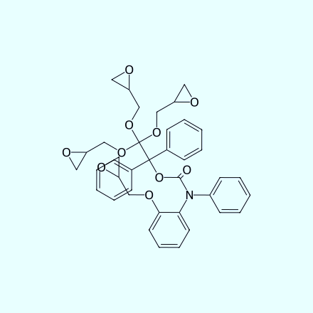 O=C(OC(c1ccccc1)(c1ccccc1)C(OCC1CO1)(OCC1CO1)OCC1CO1)N(c1ccccc1)c1ccccc1OCC1CO1